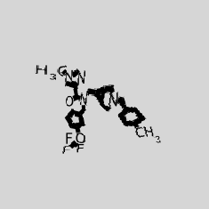 Cc1ccc(CN2CC3C(C2)C3CN(Cc2cccc(OC(F)(F)F)c2)C(=O)c2cn(C)cn2)cc1